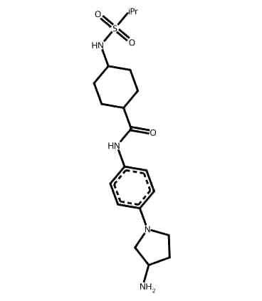 CC(C)S(=O)(=O)NC1CCC(C(=O)Nc2ccc(N3CCC(N)C3)cc2)CC1